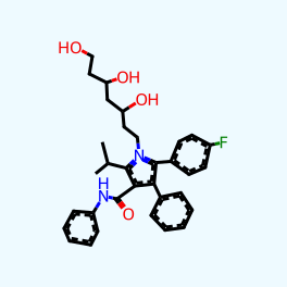 CC(C)c1c(C(=O)Nc2ccccc2)c(-c2ccccc2)c(-c2ccc(F)cc2)n1CCC(O)CC(O)CCO